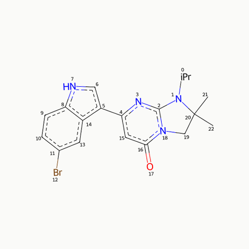 CC(C)N1c2nc(-c3c[nH]c4ccc(Br)cc34)cc(=O)n2CC1(C)C